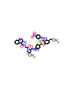 CCc1ccc(OCc2ccc(NC(=O)C3CC(C)(F)CN3C(=O)CNC(=O)c3ccnc4ccccc34)cc2)c(C(=O)Nc2ccc([N+](=O)[O-])cc2Cl)c1